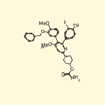 COc1ccc(-c2c(OC)cc(N3CCC(OC(N)=O)CC3)nc2-c2ccc(C#N)c(F)c2)cc1OCc1ccccc1